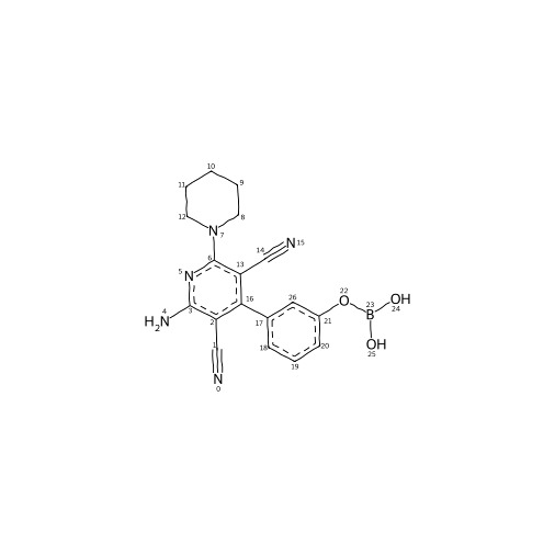 N#Cc1c(N)nc(N2CCCCC2)c(C#N)c1-c1cccc(OB(O)O)c1